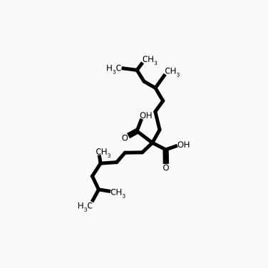 CC(C)CC(C)CCCC(CCCC(C)CC(C)C)(C(=O)O)C(=O)O